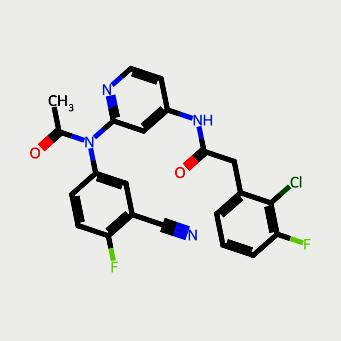 CC(=O)N(c1ccc(F)c(C#N)c1)c1cc(NC(=O)Cc2cccc(F)c2Cl)ccn1